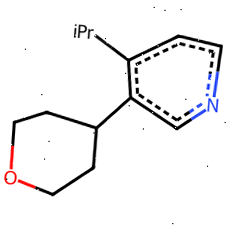 CC(C)c1ccncc1C1CCOCC1